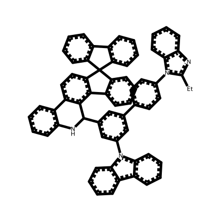 CCc1nc2ccccc2n1-c1ccc(-c2cc(C3Nc4ccccc4-c4ccc5c(c43)-c3ccccc3C53c4ccccc4-c4ccccc43)cc(-n3c4ccccc4c4ccccc43)c2)cc1